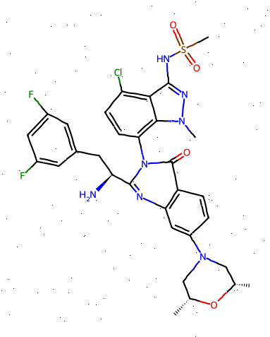 C[C@@H]1CN(c2ccc3c(=O)n(-c4ccc(Cl)c5c(NS(C)(=O)=O)nn(C)c45)c([C@@H](N)Cc4cc(F)cc(F)c4)nc3c2)C[C@H](C)O1